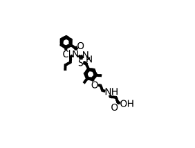 CCCCN(C(=O)c1ccccc1Cl)c1nnc(-c2cc(C)c(OCCNCCC(=O)O)c(C)c2)s1